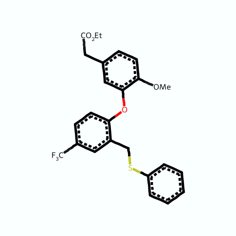 CCOC(=O)Cc1ccc(OC)c(Oc2ccc(C(F)(F)F)cc2CSc2ccccc2)c1